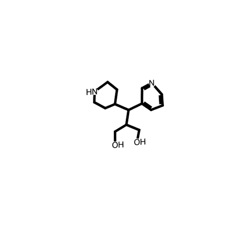 OCC(CO)C(c1cccnc1)C1CCNCC1